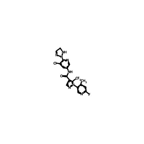 Cc1cc(F)ncc1-n1ncc(C(=O)Nc2cnc(N3N=CCN3)c(Cl)c2)c1C(F)(F)F